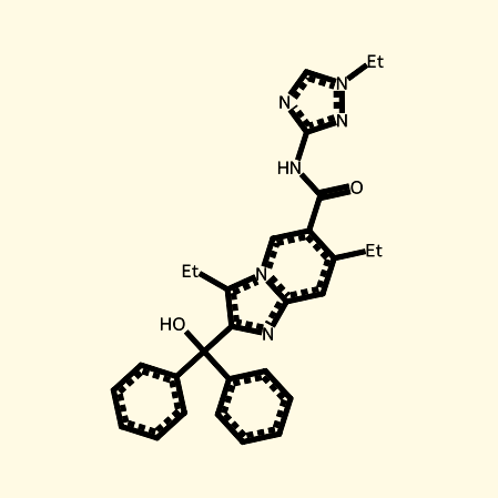 CCc1cc2nc(C(O)(c3ccccc3)c3ccccc3)c(CC)n2cc1C(=O)Nc1ncn(CC)n1